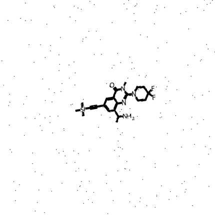 CC(N)c1cc(C#C[Si](C)(C)C)cc2c(=O)n(C)c(N3CCC(F)(F)CC3)nc12